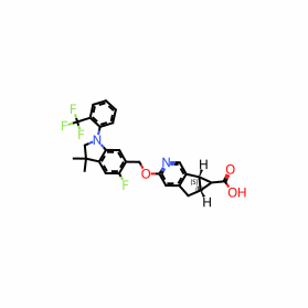 CC1(C)CN(c2ccccc2C(F)(F)F)c2cc(COc3cc4c(cn3)[C@@H]3C(C(=O)O)[C@@H]3C4)c(F)cc21